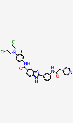 Cc1cc(NC(=O)c2ccc3[nH]c(-c4cccc(NC(=O)Cc5ccncc5)c4)nc3c2)ccc1N(CCCl)CCCl